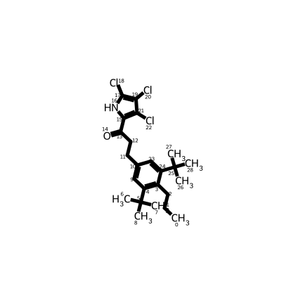 CCCc1c(C(C)(C)C)cc(CCC(=O)c2[nH]c(Cl)c(Cl)c2Cl)cc1C(C)(C)C